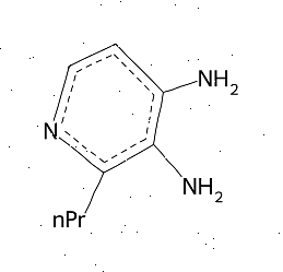 CCCc1nccc(N)c1N